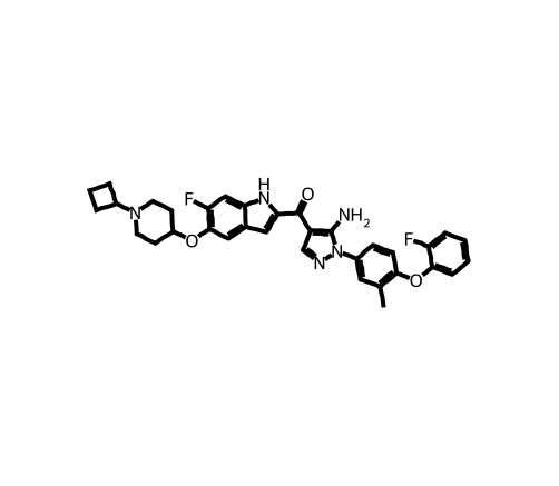 Cc1cc(-n2ncc(C(=O)c3cc4cc(OC5CCN(C6CCC6)CC5)c(F)cc4[nH]3)c2N)ccc1Oc1ccccc1F